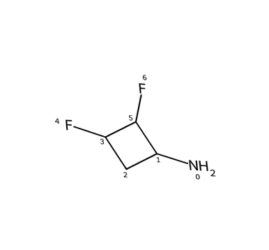 NC1CC(F)C1F